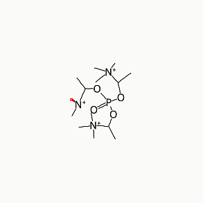 CC(OP(=O)(OC(C)[N+](C)(C)C)OC(C)[N+](C)(C)C)[N+](C)(C)C